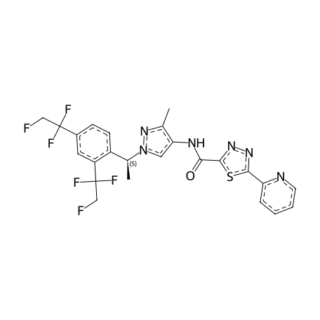 Cc1nn([C@@H](C)c2ccc(C(F)(F)CF)cc2C(F)(F)CF)cc1NC(=O)c1nnc(-c2ccccn2)s1